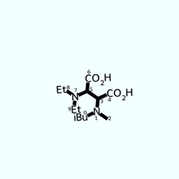 CCC(C)N(C)C(C(=O)O)C(C(=O)O)N(CC)CC